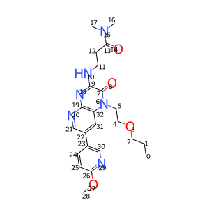 CCCOCCn1c(=O)c(NCCC(=O)N(C)C)nc2ncc(-c3ccc(OC)nc3)cc21